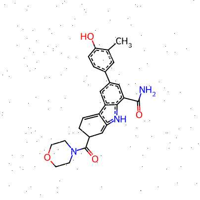 Cc1cc(-c2cc(C(N)=O)c3[nH]c4c(c3c2)=CCC(C(=O)N2CCOCC2)C=4)ccc1O